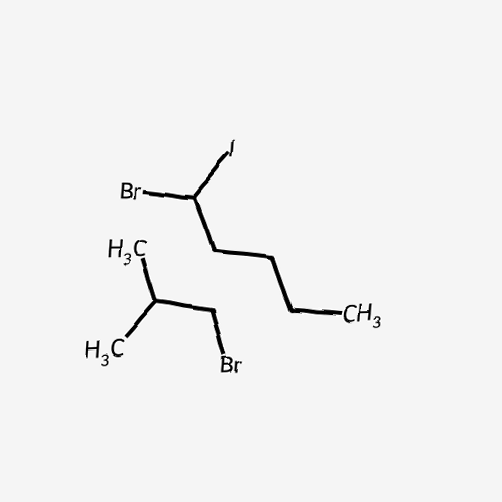 CC(C)CBr.CCCCC(Br)I